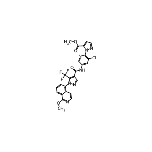 COC(=O)c1ccnn1-c1ncc(NC(=O)c2cnn(-c3cccc4c(OC)nccc34)c2C(F)(F)F)cc1Cl